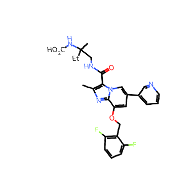 CCC(C)(CNC(=O)c1c(C)nc2c(OCc3c(F)cccc3F)cc(-c3cccnc3)cn12)NC(=O)O